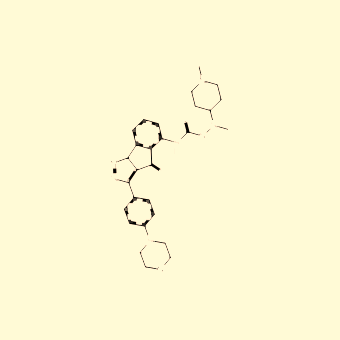 CN1CCC(N(C)NC(=O)Nc2cccc3c2C(=O)C2=C(c4ccc(N5CCNCC5)cc4)N=NC23)CC1